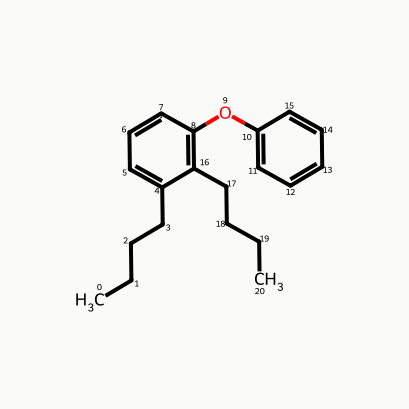 CCCCc1cc[c]c(Oc2ccccc2)c1CCCC